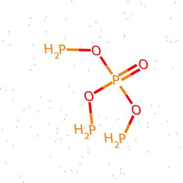 O=P(OP)(OP)OP